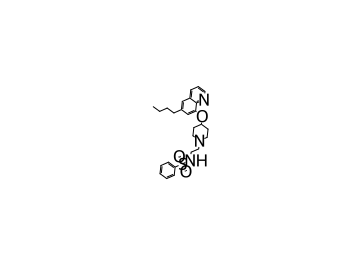 CCCCc1cc(OC2CCN(CCNS(=O)(=O)c3ccccc3)CC2)c2ncccc2c1